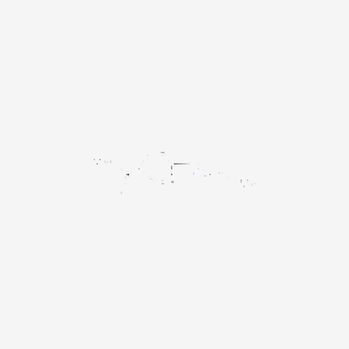 COC/C=C/c1ccc(C(=O)OC)cc1